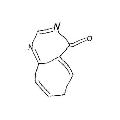 O=C1N=CN=C2C=CCC=C12